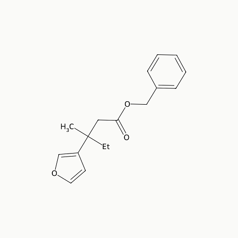 CCC(C)(CC(=O)OCc1ccccc1)c1ccoc1